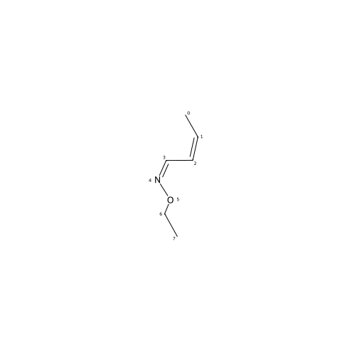 C/C=C\C=N/OCC